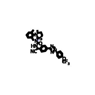 Cc1cccc(C)c1N1/C(=N/C(=O)NC(C#N)c2ccc(-c3ncn(-c4ccc(OC(F)(F)F)cc4)n3)cc2)SCCC1C